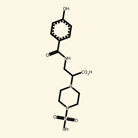 CCCS(=O)(=O)N1CCN(C(CNC(=O)c2ccc(O)cc2)C(=O)O)CC1